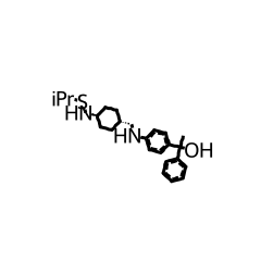 CC(C)SN[C@H]1CC[C@H](CNc2ccc(C(C)(O)c3ccccc3)cc2)CC1